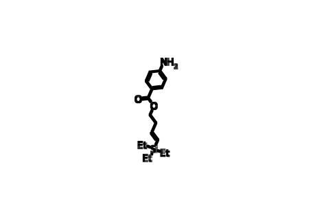 CC[Si](C=CCCOC(=O)c1ccc(N)cc1)(CC)CC